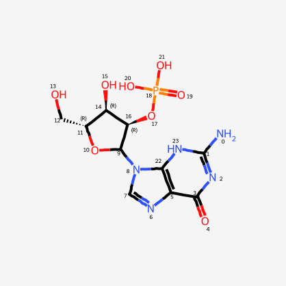 Nc1nc(=O)c2ncn(C3O[C@H](CO)[C@@H](O)[C@H]3OP(=O)(O)O)c2[nH]1